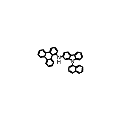 c1ccc2c(-n3c4ccccc4c4ccc(Nc5cccc6c7ccccc7c7ccccc7c56)cc43)cccc2c1